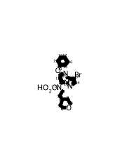 O=C(O)N(CCC1CCOCC1)c1cc(Oc2ccccc2)nc2c(Br)cnn12